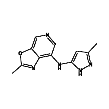 Cc1cc(Nc2cncc3oc(C)nc23)[nH]n1